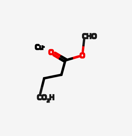 O=COC(=O)CCC(=O)O.[Cu]